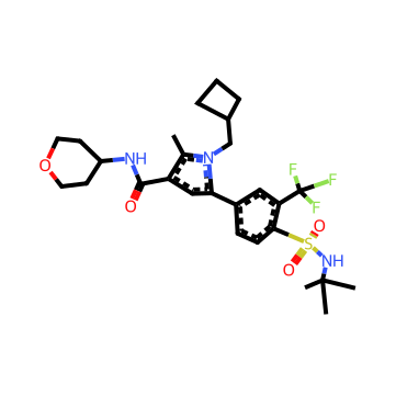 Cc1c(C(=O)NC2CCOCC2)cc(-c2ccc(S(=O)(=O)NC(C)(C)C)c(C(F)(F)F)c2)n1CC1CCC1